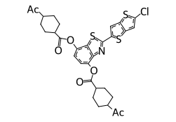 CC(=O)C1CCC(C(=O)Oc2ccc(OC(=O)C3CCC(C(C)=O)CC3)c3sc(-c4cc5sc(Cl)cc5s4)nc23)CC1